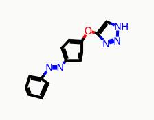 c1ccc(N=Nc2ccc(Oc3c[nH]nn3)cc2)cc1